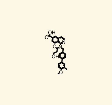 COc1ccc(-c2ccc(CN(C(=O)CCO)c3nccc4cc(C(=O)O)ccc34)cc2)cc1C